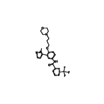 Cn1nccc1-c1cc(NC(=O)c2cccc(C(F)(F)F)c2)ccc1OCCCN1CCOCC1